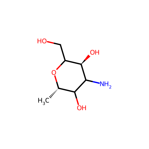 C[C@@H]1OC(CO)[C@@H](O)C(N)C1O